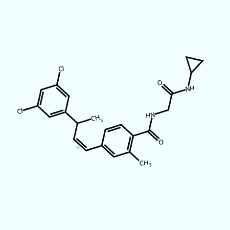 Cc1cc(/C=C\C(C)c2cc(Cl)cc(Cl)c2)ccc1C(=O)NCC(=O)NC1CC1